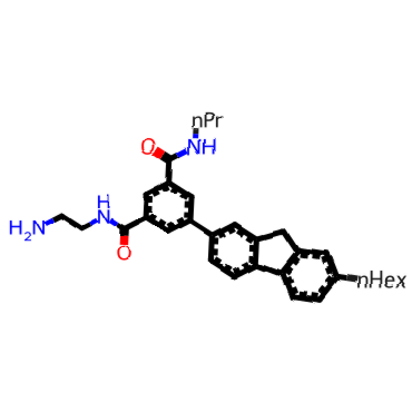 CCCCCCc1ccc2c(c1)Cc1cc(-c3cc(C(=O)NCCC)cc(C(=O)NCCN)c3)ccc1-2